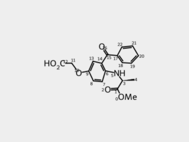 COC(=O)[C@H](C)Nc1ccc(OCC(=O)O)cc1C(=O)c1ccccc1